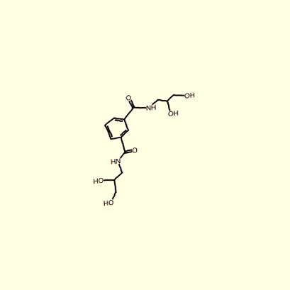 O=C(NCC(O)CO)c1cccc(C(=O)NCC(O)CO)c1